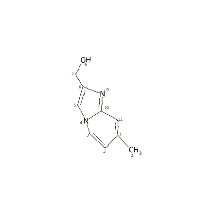 Cc1ccn2cc(CO)nc2c1